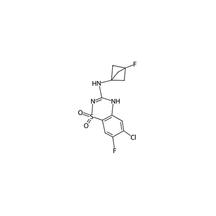 O=S1(=O)N=C(NC23CC(F)(C2)C3)Nc2cc(Cl)c(F)cc21